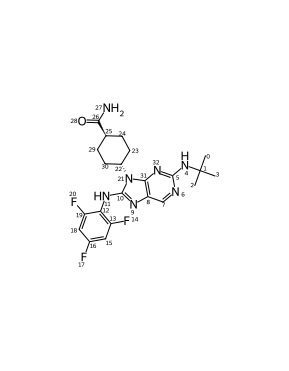 CC(C)(C)Nc1ncc2nc(Nc3c(F)cc(F)cc3F)n([C@H]3CC[C@H](C(N)=O)CC3)c2n1